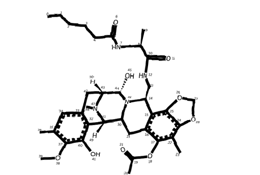 CCCCCC(=O)N[C@@H](C)C(=O)NC[C@H]1c2c(c(OC(C)=O)c(C)c3c2OCO3)CC2[C@@H]3c4c(cc(C)c(OC)c4O)C[C@H]([C@H](O)N21)N3C